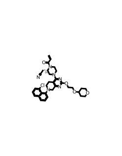 C=CC(=O)N1CCN(c2nc(OCCOC3CCOCC3)nc3c2CCN(c2cccc4cccc(Cl)c24)C3)C[C@@H]1CC#N